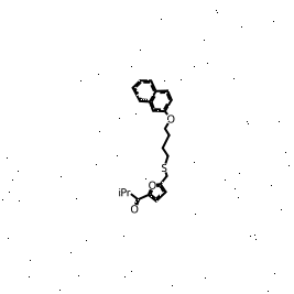 CC(C)C(=O)c1ccc(CSCCCCOc2ccc3ccccc3c2)o1